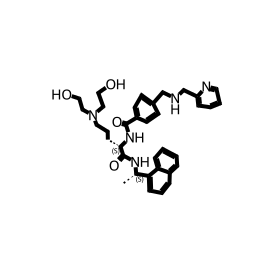 C[C@H](NC(=O)[C@H](CCCN(CCO)CCO)NC(=O)c1ccc(CNCc2ccccn2)cc1)c1cccc2ccccc12